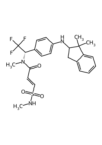 CNS(=O)(=O)C=CC(=O)N(C)[C@@H](c1ccc(NC2Cc3ccccc3C2(C)C)cc1)C(F)(F)F